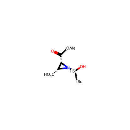 COC(=O)[C@H]1[C@@H](C(=O)O)N1[SiH](O)C(C)(C)C